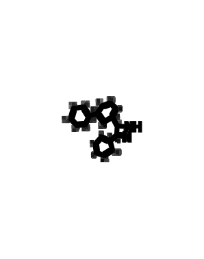 c1ccc(C2=NNC2c2cccc(-c3ccccc3)c2)cc1